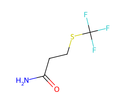 NC(=O)CCSC(F)(F)F